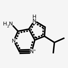 CC(C)c1c[nH]c2c(N)nc#[n+]c12